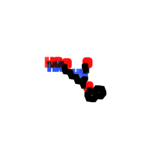 COCCNCC(=CCCCCC(=O)NO)COc1cccc2ccccc12